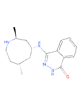 C[C@@H]1CCN[C@@H](C)C[C@H](Nc2n[nH]c(=O)c3ccccc23)C1